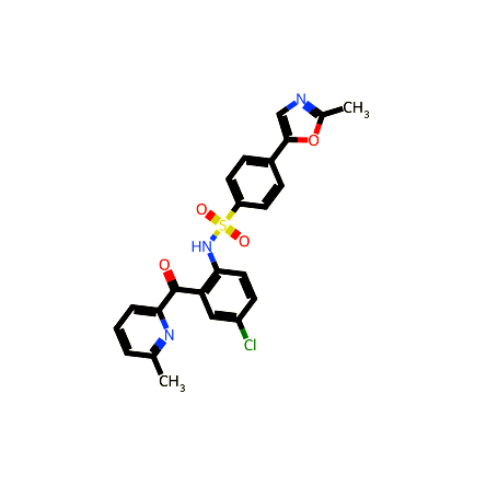 Cc1cccc(C(=O)c2cc(Cl)ccc2NS(=O)(=O)c2ccc(-c3cnc(C)o3)cc2)n1